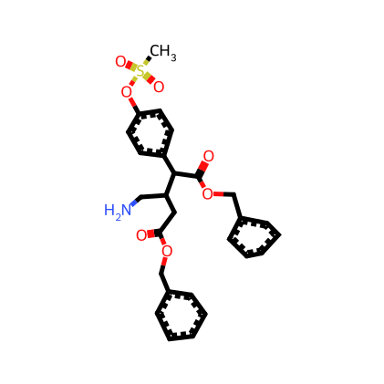 CS(=O)(=O)Oc1ccc(C(C(=O)OCc2ccccc2)C(CN)CC(=O)OCc2ccccc2)cc1